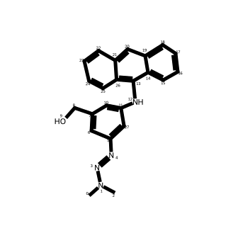 CN(C)/N=N/c1cc(CO)cc(Nc2c3ccccc3cc3ccccc23)c1